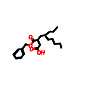 CCCCCC(CCC)CC(CC(=O)O)C(=O)OCc1ccccc1